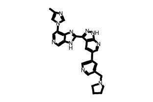 Cc1cn(-c2cncc3[nH]c(-c4n[nH]c5ncc(-c6cncc(CN7CCCC7)c6)cc45)nc23)cn1